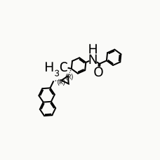 CC1([C@@H]2C[C@@H]2Cc2ccc3ccccc3c2)C=CC(NC(=O)c2ccccc2)=CC1